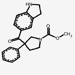 COC(=O)N1CCC(C(=O)c2ccc3c(c2)CCN3)(c2ccccc2)C1